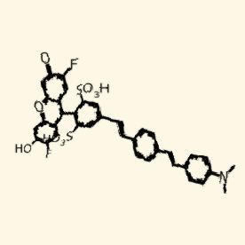 CN(C)c1ccc(/C=C/c2ccc(/C=C/c3cc(S(=O)(=O)O)c(-c4c5cc(F)c(=O)cc-5oc5cc(O)c(F)cc45)c(S(=O)(=O)O)c3)cc2)cc1